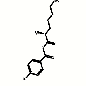 NCCCC[C@H](N)C(=O)OC(=O)c1ccc(O)cc1